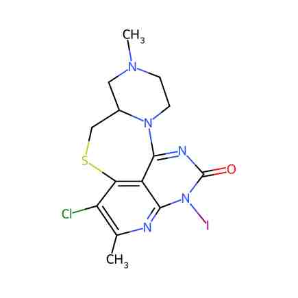 Cc1nc2c3c(nc(=O)n2I)N2CCN(C)CC2CSc3c1Cl